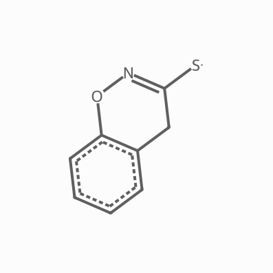 [S]C1=NOc2ccccc2C1